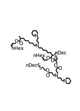 CCCCCC/C=C\COC(=O)C(C)CCCCCCN(CCCCCCC(C(=O)OC/C=C\CCCCCC)[SH](CCCCCCCCCC)SCCOC(=O)CCN(CCCN1CCCCC1)CCC(=O)OCCSSCCCCCCCCCC)CCCN1CCCCC1